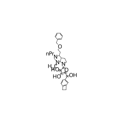 CCCN1CN(C)C2C(CCN2[C@@H]2O[C@H]([C@H](O)c3ccc4c(c3)CC4)[C@@H](O)[C@H]2O)C1CCOCc1ccccc1